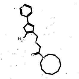 CC1=C(CSCC(=O)N2CCCCCCCCC2)C=C(c2ccccc2)C1